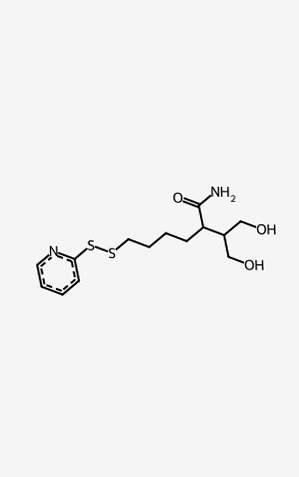 NC(=O)C(CCCCSSc1ccccn1)C(CO)CO